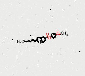 CCCCCCCC1CCC2C[C@H](C(=O)Oc3ccc(OCC)cc3)CC[C@@H]2C1